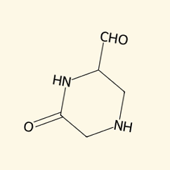 O=CC1CNCC(=O)N1